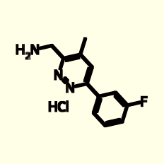 Cc1cc(-c2cccc(F)c2)nnc1CN.Cl